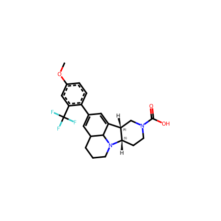 COc1ccc(C2=CC3CCCN4C3C(=C2)[C@@H]2CN(C(=O)O)CC[C@@H]24)c(C(F)(F)F)c1